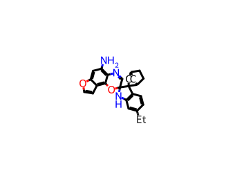 CCc1ccc2c(c1)NC1(C=Nc3c(N)cc4occc4c3O1)C21CC2CCC1C2